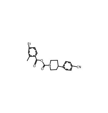 CCc1ccc(C(=O)OC(=O)N2CCC(c3ccc(C#N)cc3)CC2)c(C)c1